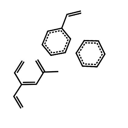 C=CC(C=C)=CC(=C)C.C=Cc1ccccc1.c1ccccc1